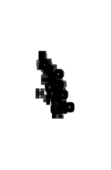 CCO[C@@H]1OC(=O)C[C@@H]1NC(=O)C(C)n1cccc(NC(=O)c2cc3cc(F)ccc3[nH]2)c1=O